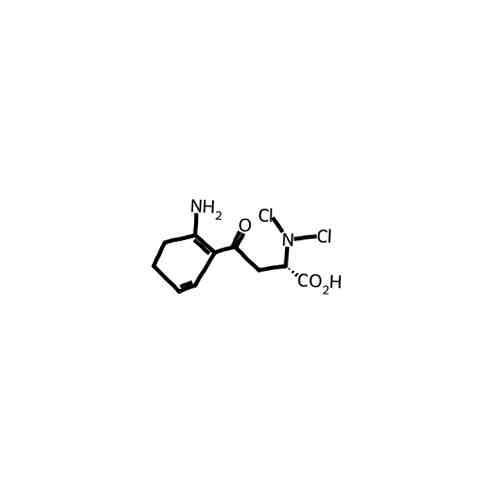 NC1=C(C(=O)C[C@@H](C(=O)O)N(Cl)Cl)C=CCC1